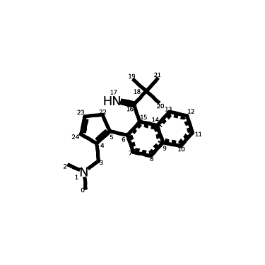 CN(C)CC1=C(c2ccc3ccccc3c2C(=N)C(C)(C)C)CC=C1